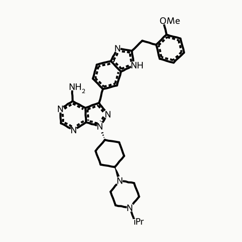 COc1ccccc1Cc1nc2ccc(-c3nn([C@H]4CC[C@H](N5CCN(C(C)C)CC5)CC4)c4ncnc(N)c34)cc2[nH]1